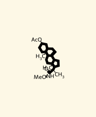 CONC(=O)[C@@H](C)C1CCC2C3=CCC4C[C@@H](OC(C)=O)CC[C@]4(C)C3CC[C@@]21C